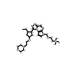 CCC1CC(OCCN2CCOCC2)CC1c1nnc2cnc3c(ccn3COCC[Si](C)(C)C)n12